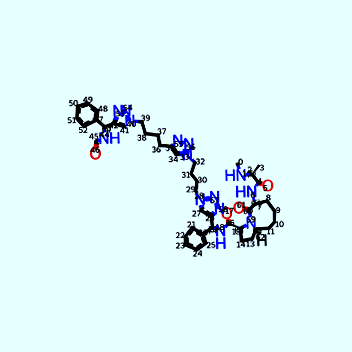 CN[C@@H](C)C(=O)N[C@H]1CCCC[C@H]2CC[C@@H](C(=O)N[C@@H](c3ccccc3)c3cn(CCCCn4cc(CCCCn5cc([C@@H](NC=O)c6ccccc6)nn5)nn4)nn3)N2C1=O